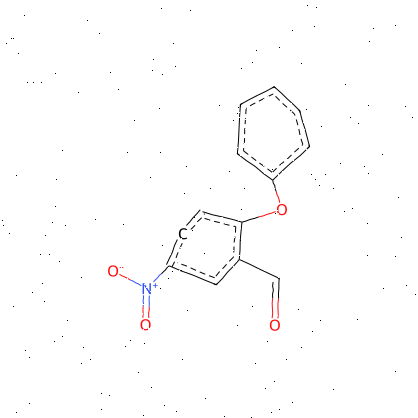 O=Cc1cc([N+](=O)[O-])ccc1Oc1ccccc1